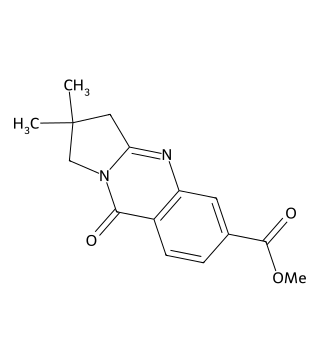 COC(=O)c1ccc2c(=O)n3c(nc2c1)CC(C)(C)C3